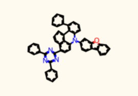 c1ccc(-c2nc(-c3ccccc3)nc(-c3ccc4c5c(cccc35)-c3c(-c5ccccc5)cccc3N4c3ccc4c(c3)oc3ccccc34)n2)cc1